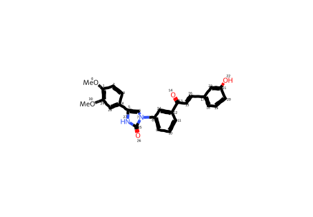 COc1ccc(-c2cn(-c3cccc(C(=O)C=Cc4cccc(O)c4)c3)c(=O)[nH]2)cc1OC